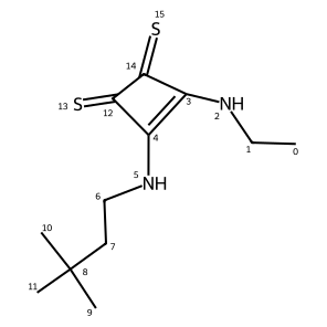 CCNc1c(NCCC(C)(C)C)c(=S)c1=S